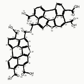 O=C(O)c1ccc2c3ccc(C(=O)O)c4c(C(=O)OC(=O)c5cc6sc7cc(C(=O)O)c8c(C(=O)O)ccc9c%10ccc(C(=O)O)c5c%10c6c7c89)cc5sc6cc(C(=O)O)c1c2c6c5c43